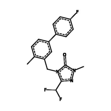 Cc1ccc(-c2ccc(F)cc2)cc1Cn1c(C(F)F)nn(C)c1=O